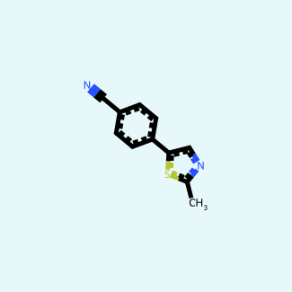 Cc1ncc(-c2ccc(C#N)cc2)s1